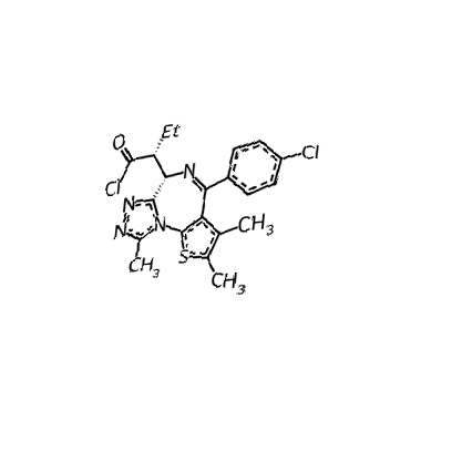 CC[C@@H](C(=O)Cl)[C@@H]1N=C(c2ccc(Cl)cc2)c2c(sc(C)c2C)-n2c(C)nnc21